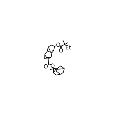 CCC(C)(C)C(=O)OC1CC2CC1C1C3CC(CC3C(=O)OC3(C)C4CC5CC(C4)CC3C5)C21